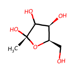 C[C@]1(O)O[C@H](CO)[C@H](O)[C]1O